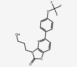 O=c1oc2ccc(-c3ccc(OC(F)(F)F)cc3)nc2n1CCCO